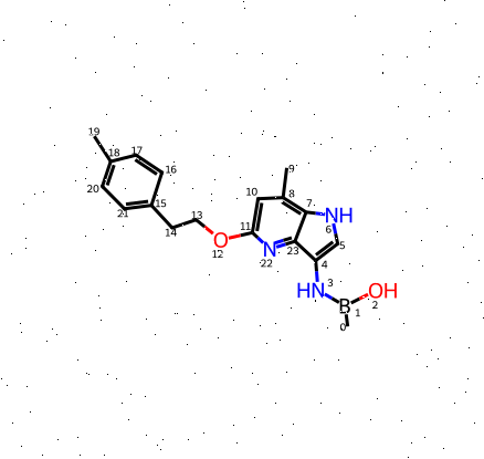 CB(O)Nc1c[nH]c2c(C)cc(OCCc3ccc(C)cc3)nc12